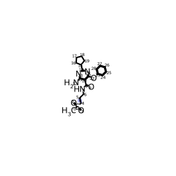 CS(=O)(=O)/C=C/CNC(=O)c1c(N)nc(C2CCCC2)nc1Oc1ccccc1